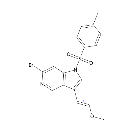 CO/C=C/c1cn(S(=O)(=O)c2ccc(C)cc2)c2cc(Br)ncc12